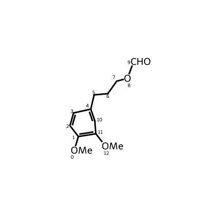 COc1ccc(CCCOC=O)cc1OC